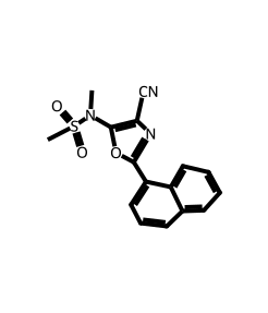 CN(c1oc(-c2cccc3ccccc23)nc1C#N)S(C)(=O)=O